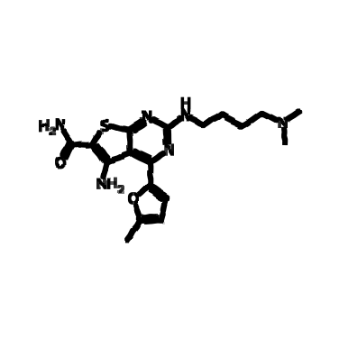 Cc1ccc(-c2nc(NCCCCN(C)C)nc3sc(C(N)=O)c(N)c23)o1